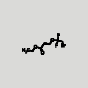 CCOC(=O)/C=C/OC(F)(F)CBr